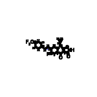 O=c1[nH]sc2c1c(=O)c1cc(F)c(/C=C/c3ccc(C(F)(F)F)cc3)cc1n2C1CC1